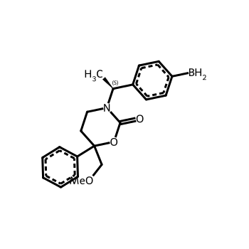 Bc1ccc([C@H](C)N2CCC(COC)(c3ccccc3)OC2=O)cc1